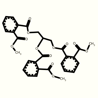 COC(=O)c1ccccc1C(=O)OCC(COC(=O)c1ccccc1C(=O)OC)OC(=O)c1ccccc1C(=O)OC